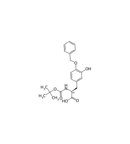 CC(C)(C)OC(=O)N[C@@H](Cc1ccc(OCc2ccccc2)c(O)c1)C(=O)O